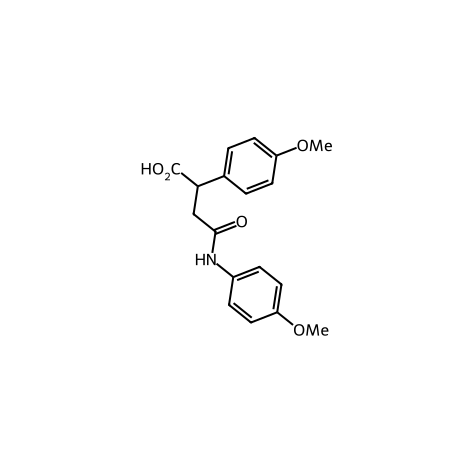 COc1ccc(NC(=O)CC(C(=O)O)c2ccc(OC)cc2)cc1